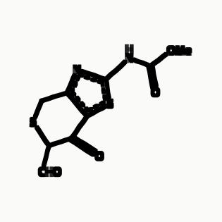 COC(=O)Nc1nc2c(s1)C(=O)C(C=O)SC2